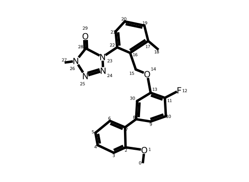 COc1ccccc1-c1ccc(F)c(OCc2c(C)cccc2-n2nnn(C)c2=O)c1